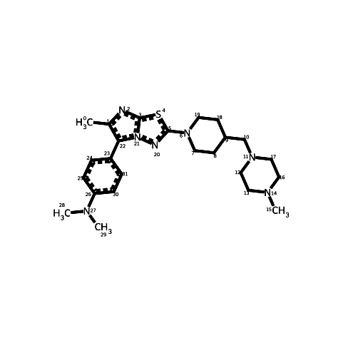 Cc1nc2sc(N3CCC(CN4CCN(C)CC4)CC3)nn2c1-c1ccc(N(C)C)cc1